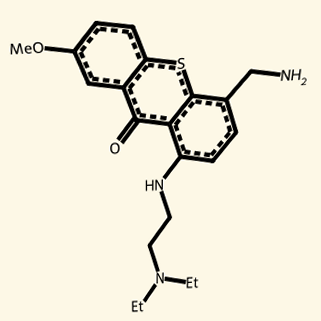 CCN(CC)CCNc1ccc(CN)c2sc3ccc(OC)cc3c(=O)c12